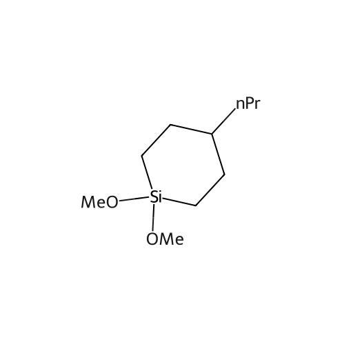 CCCC1CC[Si](OC)(OC)CC1